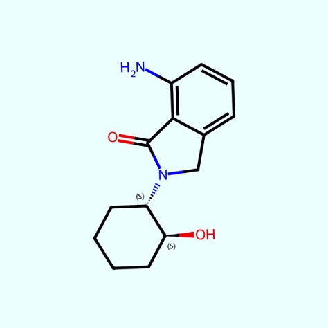 Nc1cccc2c1C(=O)N([C@H]1CCCC[C@@H]1O)C2